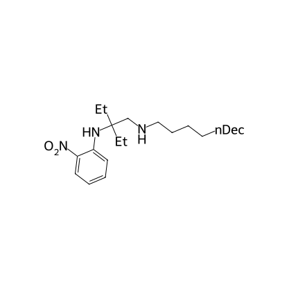 CCCCCCCCCCCCCCNCC(CC)(CC)Nc1ccccc1[N+](=O)[O-]